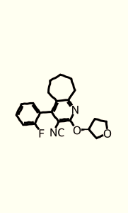 N#Cc1c(O[C@H]2CCOC2)nc2c(c1-c1ccccc1F)CCCCC2